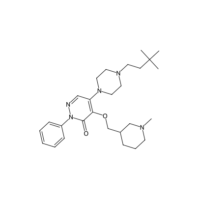 CN1CCCC(COc2c(N3CCN(CCC(C)(C)C)CC3)cnn(-c3ccccc3)c2=O)C1